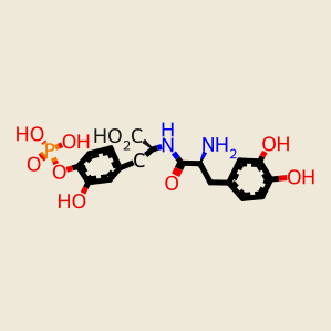 N[C@@H](Cc1ccc(O)c(O)c1)C(=O)N[C@@H](Cc1ccc(OP(=O)(O)O)c(O)c1)C(=O)O